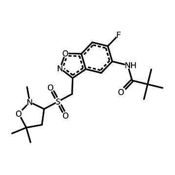 CN1OC(C)(C)CC1S(=O)(=O)Cc1noc2cc(F)c(NC(=O)C(C)(C)C)cc12